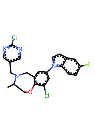 CC1COc2c(Cl)cc(-n3ccc4cc(F)ccc43)cc2CN1Cc1cnc(Cl)nc1